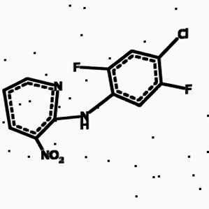 O=[N+]([O-])c1cccnc1Nc1cc(F)c(Cl)cc1F